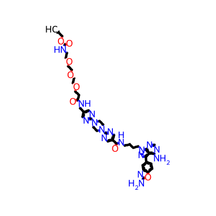 C#CCOC(=O)NCCOCCOCCOCCC(=O)NCc1cnc(N2CCN(c3ncc(C(=O)NCCCCn4nc(-c5ccc6oc(N)nc6c5)c5c(N)ncnc54)cn3)CC2)nc1